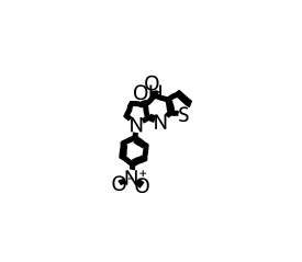 O=C1c2ccsc2N=C2N(c3ccc([N+](=O)[O-])cc3)CCC12O